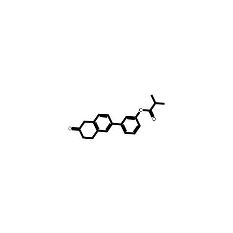 CC(C)C(=O)Oc1cccc(-c2ccc3c(c2)CCC(=O)C3)c1